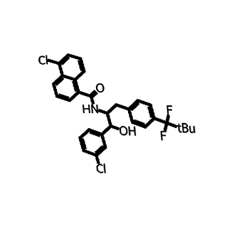 CC(C)(C)C(F)(F)c1ccc(CC(NC(=O)c2cccc3c(Cl)cccc23)C(O)c2cccc(Cl)c2)cc1